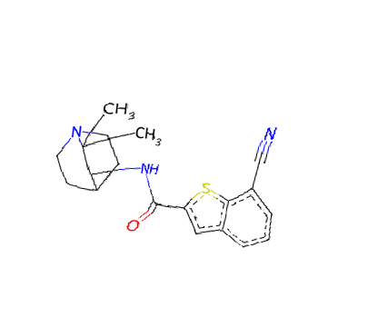 CC1(C)C(NC(=O)c2cc3cccc(C#N)c3s2)C2CCN1CC2